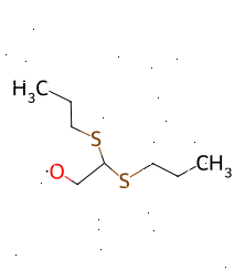 CCCSC(C[O])SCCC